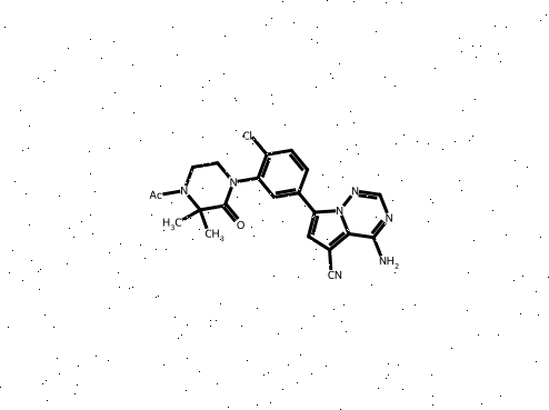 CC(=O)N1CCN(c2cc(-c3cc(C#N)c4c(N)ncnn34)ccc2Cl)C(=O)C1(C)C